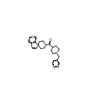 O=C(C1CCN(Cc2ccnnc2)CC1)N1CCC2(C=Cc3ccccc32)CC1